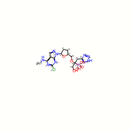 CC(C)Nc1nc(Cl)nc2c1cnn2[C@H]1CC[C@@H](COC(CO)(Cc2nn[nH]n2)P(=O)(O)O)O1